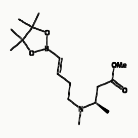 COC(=O)C[C@@H](C)N(C)CC/C=C/B1OC(C)(C)C(C)(C)O1